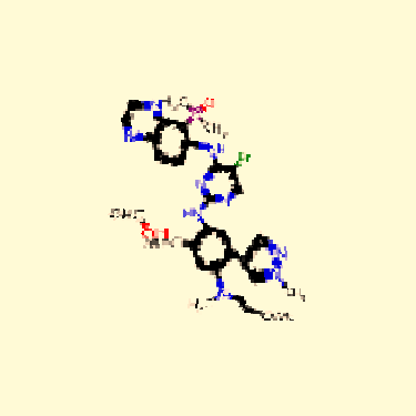 COCCN(C)c1cc(OC)c(Nc2ncc(Br)c(Nc3ccc4nccnc4c3P(C)(C)=O)n2)cc1-c1cnn(C)c1.O=CO